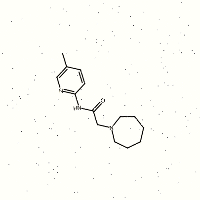 Cc1ccc(NC(=O)CN2CCCCCC2)nc1